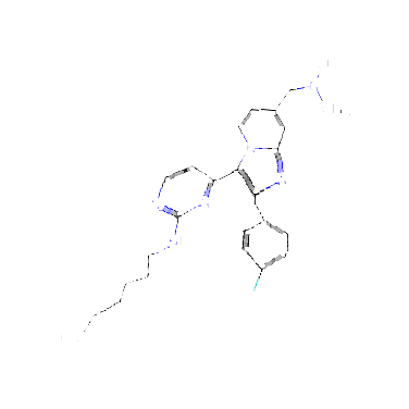 CCCCCCNc1nccc(-c2c(-c3ccc(F)cc3)nc3cc(CN(C)C)ccn23)n1